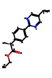 CCCCCCCc1cnc(-c2ccc([C@@H](C)C(=O)OCC(C)CC)cc2)nc1